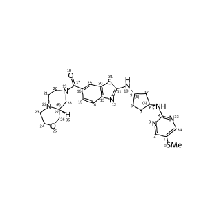 CSc1cnc(N[C@H]2CC[C@H](Nc3nc4ccc(C(=O)N5CCN6CCOC[C@H]6C5)cc4s3)C2)nc1